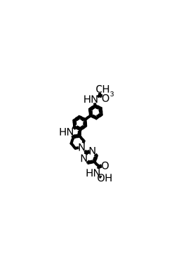 CC(=O)Nc1cccc(-c2ccc3[nH]c4c(c3c2)CN(c2ncc(C(=O)NO)cn2)CC4)c1